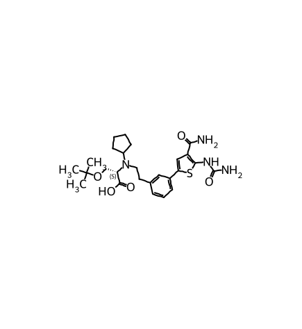 CC(C)(C)OC[C@@H](C(=O)O)N(CCc1cccc(-c2cc(C(N)=O)c(NC(N)=O)s2)c1)C1CCCC1